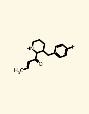 CC=CC(=O)C1NCCCC1Cc1ccc(F)cc1